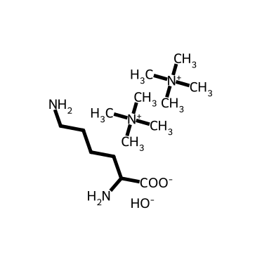 C[N+](C)(C)C.C[N+](C)(C)C.NCCCCC(N)C(=O)[O-].[OH-]